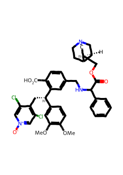 COc1ccc([C@H](Cc2c(Cl)c[n+]([O-])cc2Cl)c2cc(CNC(C(=O)OC[C@@H]3CN4CCC3CC4)c3ccccc3)ccc2C(=O)O)cc1OC